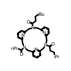 CCCC(=O)N1Cc2cccc(n2)CN(C(=O)CCC(C)C)Cc2cccc(n2)CN(C(=O)CCC(C)CC)Cc2cccc(n2)C1